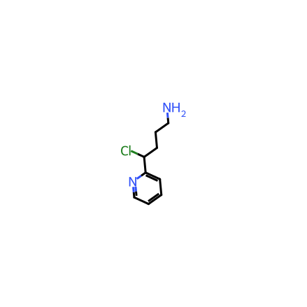 NCCCC(Cl)c1ccccn1